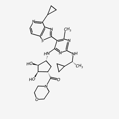 Cc1nc(N[C@H](C)C2CC2)nc(N[C@@H]2C[C@H](C(=O)N3CCOCC3)[C@@H](O)[C@H]2O)c1-c1nc2c(C3CC3)nccc2s1